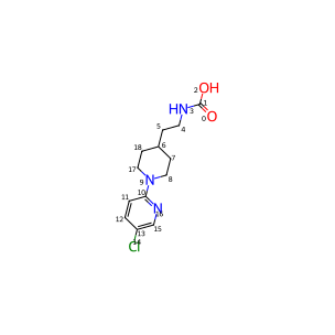 O=C(O)NCCC1CCN(c2ccc(Cl)cn2)CC1